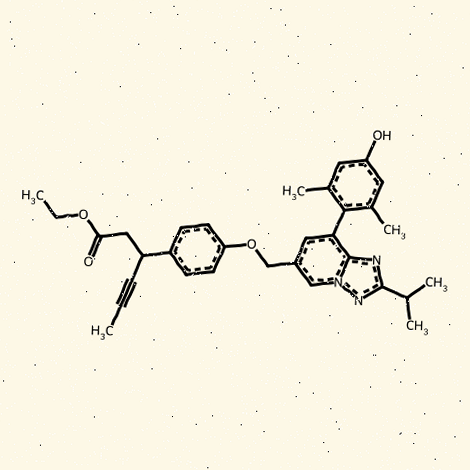 CC#CC(CC(=O)OCC)c1ccc(OCc2cc(-c3c(C)cc(O)cc3C)c3nc(C(C)C)nn3c2)cc1